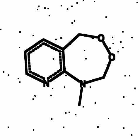 CN1COOCc2cccnc21